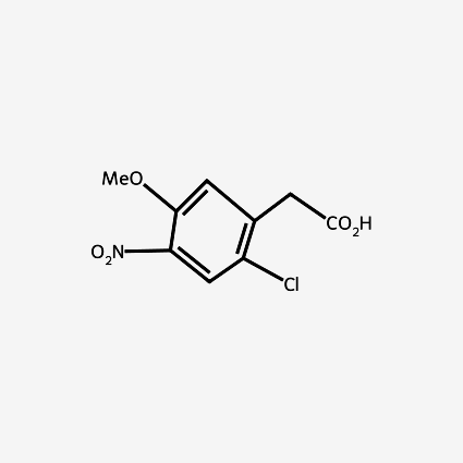 COc1cc(CC(=O)O)c(Cl)cc1[N+](=O)[O-]